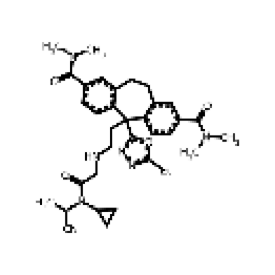 CCc1nnc(C2(CCNCC(=O)N(C(C)C#N)C3CC3)c3ccc(C(=O)N(C)C)cc3CCc3cc(C(=O)N(C)C)ccc32)o1